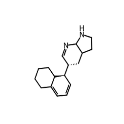 C1=C[C@H]([C@@H]2C=NC3NCCC3C2)C2CCCCC2=C1